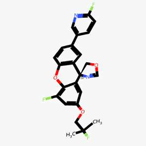 CC(C)(F)COc1cc(F)c2c(c1)[C@]1(COC=N1)c1cc(-c3ccc(F)nc3)ccc1O2